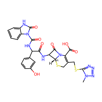 Cn1nnnc1SCC1=C(C(=O)O)N2C(=O)C(NC(=O)C(NC(=O)n3c(=O)[nH]c4ccccc43)c3cccc(O)c3)[C@H]2SC1